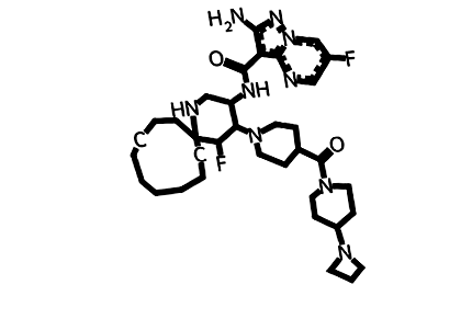 Nc1nn2cc(F)cnc2c1C(=O)NC1CNC2(CCCCCCCCC2)C(F)C1N1CCC(C(=O)N2CCC(N3CCC3)CC2)CC1